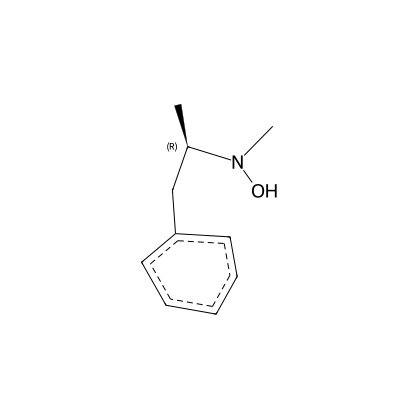 C[C@H](Cc1ccccc1)N(C)O